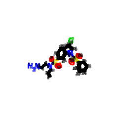 C=CCN(CCN)S(=O)(=O)c1ccc2c(Cl)cn(S(=O)(=O)c3ccccc3)c2c1